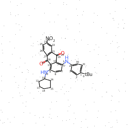 CC(C)(C)c1ccc(Nc2ccc(NC3CCCCC3)c3c2C(=O)c2cc([N+](=O)[O-])ccc2C3=O)cc1